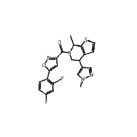 CC1c2sccc2C(c2cnn(C)c2)CN1C(=O)c1cc(-c2ccc(F)cc2F)on1